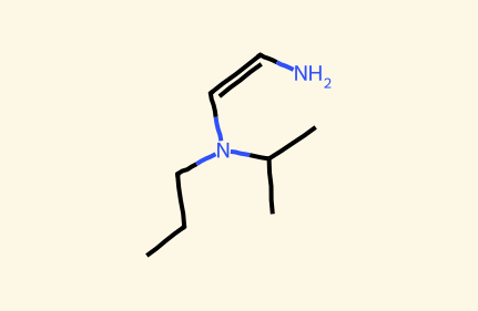 CCCN(/C=C\N)C(C)C